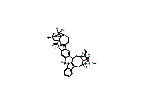 C/C=C1/CN[C@@H]2Cc3c([nH]c4ccccc34)[C@@H](c3cc4c5c([nH]c4cc3OC)[C@]3(C(=O)OC)C[C@@H]4C[C@H](CC)[C@@H]3N(CC5)C4)C[C@@H]1C2C(=O)OC